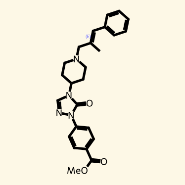 COC(=O)c1ccc(-n2ncn(C3CCN(C/C(C)=C/c4ccccc4)CC3)c2=O)cc1